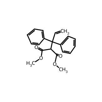 C=CC(c1ccccc1)(c1ccccc1)C(C(=O)OC)C(=O)OC